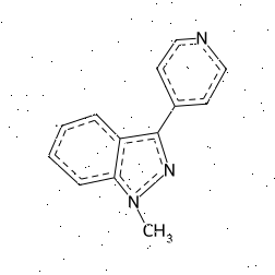 Cn1nc(-c2ccncc2)c2c[c]ccc21